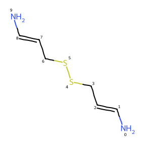 NC=CCSSCC=CN